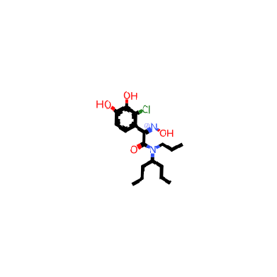 CCCC(CCC)N(CCC)C(=O)/C(=N\O)c1ccc(O)c(O)c1Cl